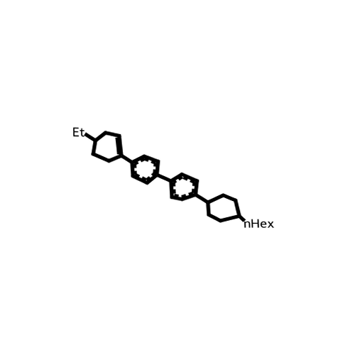 CCCCCCC1CCC(c2ccc(-c3ccc(C4=CCC(CC)CC4)cc3)cc2)CC1